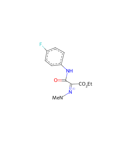 CCOC(=O)/C(=N/NC)C(=O)Nc1ccc(F)cc1